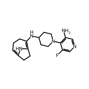 Nc1cncc(F)c1N1CCC(NC2=C3CCC(=CCC2)N3)CC1